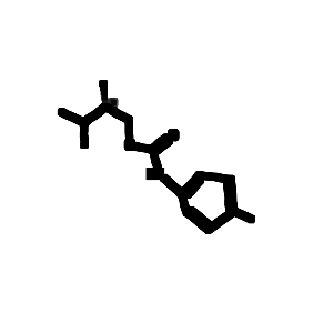 Cc1ccc(NC(=O)OC[C@@H](C)C(C)C)cc1